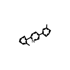 Cc1cccc(-c2ccc(-c3ccccc3C)nc2)c1